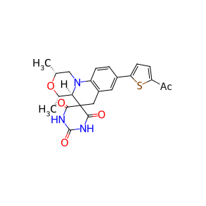 CC(=O)c1ccc(-c2ccc3c(c2)CC2(C(=O)NC(=O)NC2=O)[C@H]2[C@H](C)O[C@H](C)CN32)s1